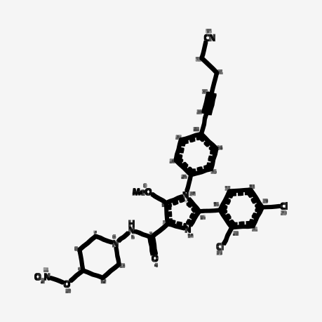 COc1c(C(=O)NN2CCC(O[N+](=O)[O-])CC2)nc(-c2ccc(Cl)cc2Cl)n1-c1ccc(C#CCCC#N)cc1